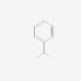 CCCCCC(Br)c1ccccc1